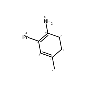 CC1=CC(C(C)C)=C(N)CC1